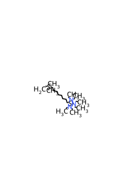 C=C[Si](C)(C)CCCCCCCC[Si](N(CC)CC)(N(CC)CC)N(CC)CC